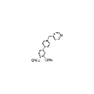 COc1ccc(-c2ccc(Cc3ccncc3)cc2)cc1OC